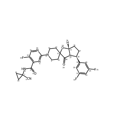 N#CC1(NC(=O)c2nc(N3CCC4(CC3)O[C@@H]3CC[C@@H](c5cc(F)cc(F)c5)N3C4=O)ncc2F)CC1